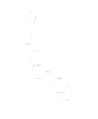 O=C(CCS(=O)(=O)C(F)(F)F)N1CCc2c(cccc2Oc2ccc(C(F)(F)F)nc2)C1